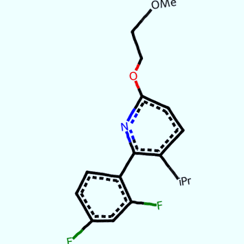 COCCOc1ccc(C(C)C)c(-c2ccc(F)cc2F)n1